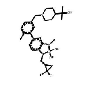 Cc1ccc(CN2CCC(C(C)(C)O)CC2)cc1-c1ccc2c(n1)N(C)S(O)(O)N2CC1CC1(F)F